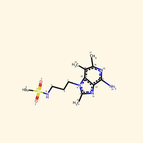 CCCCS(=O)(=O)NCCCn1c(C)nc2c(N)nc(C)c(C)c21